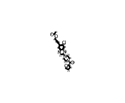 CC(=O)OCC#Cc1cc2ncc(N3CCN(C(=O)[C@H]4CCCO4)CC3)nc2cc1Cl